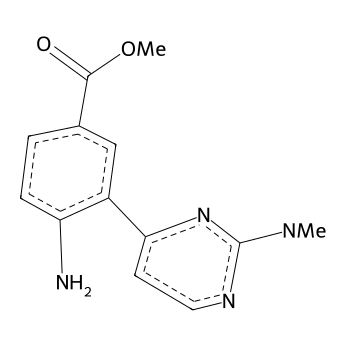 CNc1nccc(-c2cc(C(=O)OC)ccc2N)n1